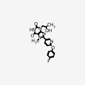 CC(O)Cn1c(=O)[nH]c(=O)c2c1nc(-c1ccc(Oc3ccc(F)cc3)nc1)n2C